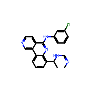 C/N=C\NC(C)c1cccc2c1nc(Nc1cccc(Cl)c1)c1ccncc12